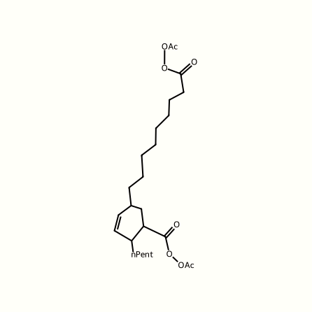 CCCCCC1C=CC(CCCCCCCCC(=O)OOC(C)=O)CC1C(=O)OOC(C)=O